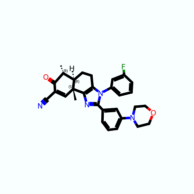 C[C@H]1C(=O)C(C#N)=C[C@@]2(C)c3nc(-c4cccc(N5CCOCC5)c4)n(-c4cccc(F)c4)c3CC[C@H]12